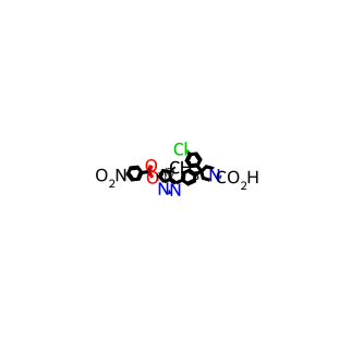 C[C@@H]1C[C@@H](OC(=O)c2ccc([N+](=O)[O-])cc2)c2ncnc(-c3ccc(C4(c5ccc(Cl)cc5)CCN(C(=O)O)CC4)cc3)c21